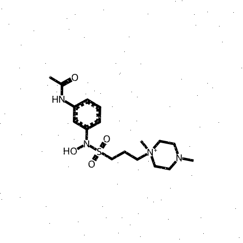 CC(=O)Nc1cccc(N(O)S(=O)(=O)CCC[N+]2(C)CCN(C)CC2)c1